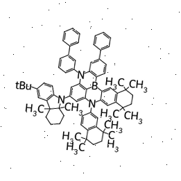 CC(C)(C)c1ccc2c(c1)C1(C)CCCCC1(C)N2c1cc2c3c(c1)N(c1ccc4c(c1)C(C)(C)CCC4(C)C)c1cc4c(cc1B3c1ccc(-c3ccccc3)cc1N2c1cccc(-c2ccccc2)c1)C(C)(C)CCC4(C)C